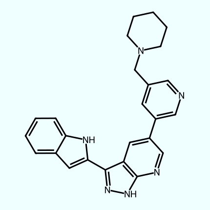 c1ccc2[nH]c(-c3n[nH]c4ncc(-c5cncc(CN6CCCCC6)c5)cc34)cc2c1